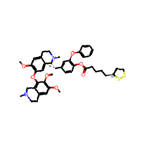 COc1cc2c(cc1Oc1c3c(cc(OC)c1OC)CCN(C)C3)[C@@H](Cc1ccc(OC(=O)CCCC[C@H]3CCSS3)c(Oc3ccccc3)c1)N(C)CC2